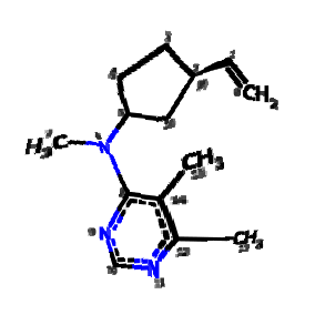 C=C[C@@H]1CCC(N(C)c2ncnc(C)c2C)C1